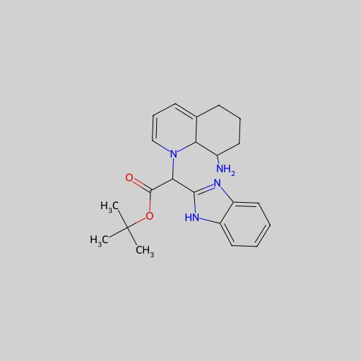 CC(C)(C)OC(=O)C(c1nc2ccccc2[nH]1)N1C=CC=C2CCCC(N)C21